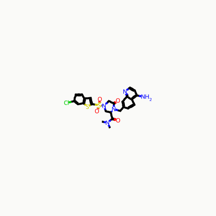 CN(C)C(=O)C1CN(S(=O)(=O)c2cc3ccc(Cl)cc3s2)CC(=O)N1Cc1ccc2c(N)ccnc2c1